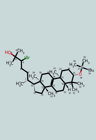 C[C@H](CCC(Br)C(C)(C)O)[C@H]1CC[C@@]2(C)C3=C(CC[C@]12C)[C@@]1(C)CC[C@H](O[Si](C)(C)C(C)(C)C)C(C)(C)[C@@H]1CC3